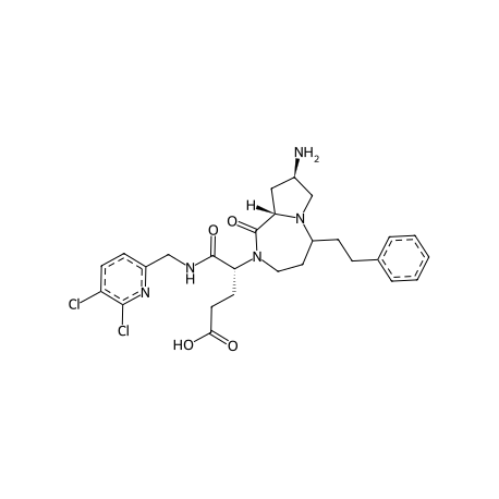 N[C@@H]1C[C@H]2C(=O)N([C@H](CCC(=O)O)C(=O)NCc3ccc(Cl)c(Cl)n3)CCC(CCc3ccccc3)N2C1